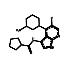 NC1CCCN(c2c(Cl)cnc3[nH]cc(NC(=O)C4CCCC4)c23)C1